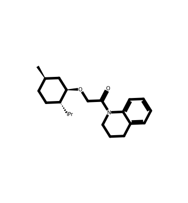 CC(C)[C@@H]1CC[C@@H](C)C[C@H]1OCC(=O)N1CCCc2ccccc21